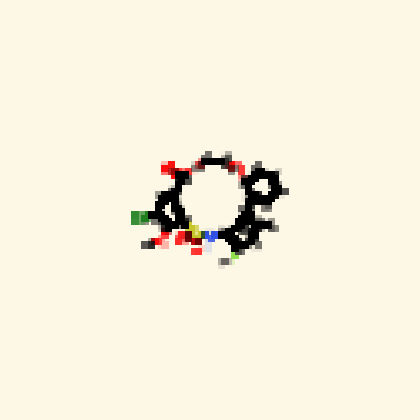 COc1c(Cl)cc2cc1S(=O)(=O)Nc1cc(c(C)cc1F)-c1ccccc1OCCOC2=O